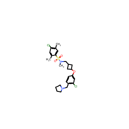 Cc1cc(S(=O)(=O)N(C)CC2CC(Oc3ccc(CN4CCCC4)c(Cl)c3)C2)c(C)cc1Cl